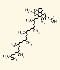 CCC(=O)Oc1c(CC=C(C)CCC=C(C)CCC=C(C)CCC=C(C)CCC=C(C)CCC=C(C)CCC=C(C)C)c(C)c(OC(=O)CCC(=O)O)c2ccccc12